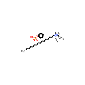 CCCCCCCCCCCCCCCC[N+](C)(C)CC.O=S(=O)([O-])O.c1ccccc1